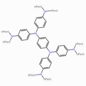 CCCCCN(CCCCC)c1ccc(N(c2ccc(N(CCCCC)CCCCC)cc2)c2ccc(N(c3ccc(N(CCCCC)CCCCC)cc3)c3ccc(N(CCCCC)CCCCC)cc3)cc2)cc1